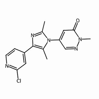 Cc1nc(-c2ccnc(Cl)c2)c(C)n1-c1cnn(C)c(=O)c1